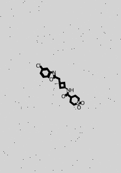 C[C@]1(Cc2nc3cc(Cl)ccc3o2)C[C@@H](NC(=O)C2CCS(=O)(=O)CC2)C1